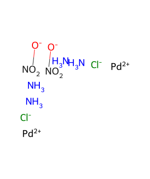 N.N.N.N.O=[N+]([O-])[O-].O=[N+]([O-])[O-].[Cl-].[Cl-].[Pd+2].[Pd+2]